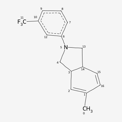 CC1=CC2CN(c3cccc(C(F)(F)F)c3)CC2C=C1